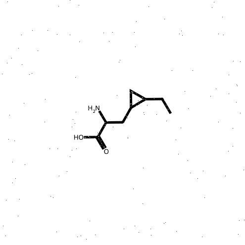 CCC1CC1CC(N)C(=O)O